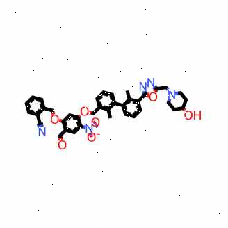 Cc1c(COc2cc(OCc3ccccc3C#N)c(C=O)cc2[N+](=O)[O-])cccc1-c1cccc(-c2nnc(CN3CCC(O)CC3)o2)c1C